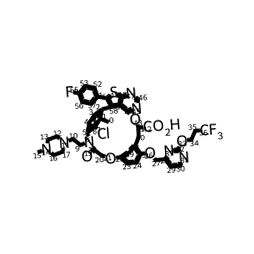 Cc1c2ccc(c1Cl)N(CCN1CCN(C)CC1)C(=O)COc1ccc(OCc3ccnc(OCCC(F)(F)F)n3)c(c1)CC(C(=O)O)Oc1ncnc3sc(-c4ccc(F)cc4)c-2c13